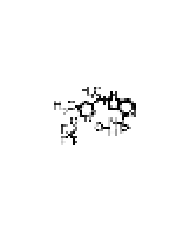 Cc1cc(C(C)n2cc3c(C4(NC=O)CC4)nccc3n2)cnc1OCC(F)(F)F